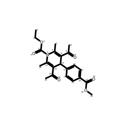 CCOC(=O)N1C(C)=C(C(C)=O)C(c2ccc(C(=O)OC)cc2)C(C(C)=O)=C1C